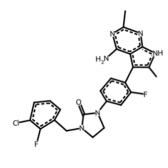 Cc1nc(N)c2c(-c3ccc(N4CCN(Cc5cccc(Cl)c5F)C4=O)cc3F)c(C)[nH]c2n1